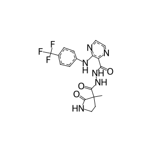 CC1(C(=O)NNC(=O)c2nccnc2Nc2ccc(C(F)(F)F)cc2)CCNC1=O